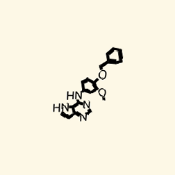 COc1cc(Nc2ncnc3cc[nH]c23)ccc1OCc1ccccc1